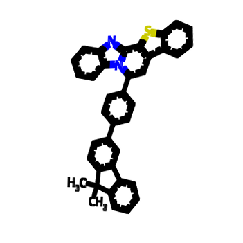 CC1(C)c2ccccc2-c2cc(-c3ccc(-c4cc5c6ccccc6sc5c5nc6ccccc6n45)cc3)ccc21